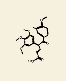 COc1ccc(C(=O)C(C=CC(=O)O)c2cc(OC)c(OC)c(OC)c2)cc1C